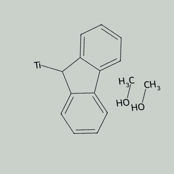 CO.CO.[Ti][CH]1c2ccccc2-c2ccccc21